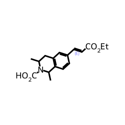 CCOC(=O)/C=C/c1ccc2c(c1)CC(C)N(C(=O)O)C2C